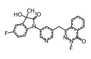 CC1(O)C(=O)N(c2cncc(Cc3nn(F)c(=O)c4ccccc34)c2)c2ccc(F)cc21